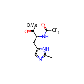 COC(=O)[C@H](Cc1cnc(C)[nH]1)NC(=O)C(F)(F)F